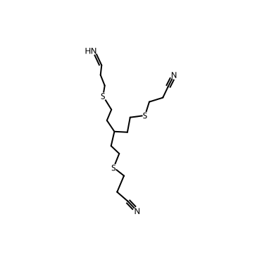 N#CCCSCCC(CCSCCC#N)CCSCCC=N